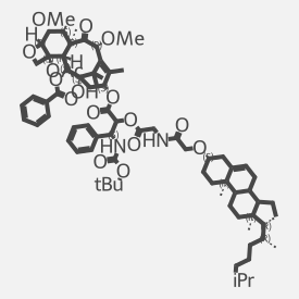 CO[C@H]1C(=O)[C@]2(C)[C@@H](OC)C[C@H]3OC[C@@]3(OC(C)=O)[C@H]2[C@H](OC(=O)c2ccccc2)[C@]2(O)C[C@H](OC(=O)C(OC(=O)CNC(=O)CO[C@H]3CC[C@@]4(C)C(=CCC5C4CC[C@@]4(C)C5CC[C@@H]4[C@H](C)CCCC(C)C)C3)[C@@H](NC(=O)OC(C)(C)C)c3ccccc3)C(C)=C1C2(C)C